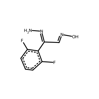 N/N=C(/C=N/O)c1c(F)cccc1F